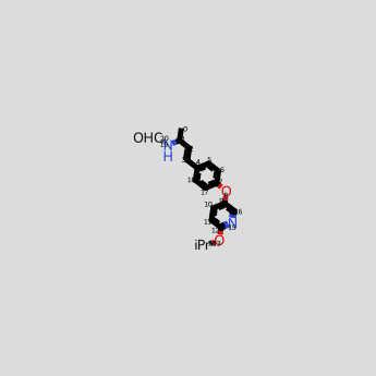 CC(/C=C/c1ccc(Oc2ccc(OC(C)C)nc2)cc1)NC=O